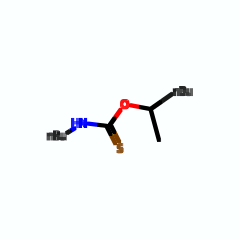 CCCCNC(=S)OC(C)CCCC